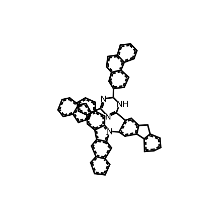 c1ccc2c(c1)Cc1cc(C3=NC(c4ccc5ccccc5c4)=NC(c4ccc5c(ccc6ccccc65)c4)N3)c(-n3c4cc5ccccc5cc4c4cc5ccccc5cc43)cc1-2